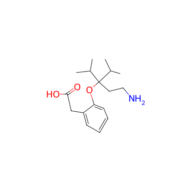 CC(C)C(CCN)(Oc1ccccc1CC(=O)O)C(C)C